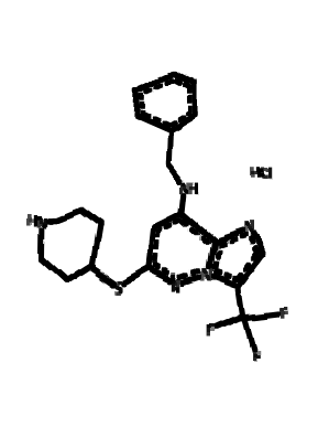 Cl.FC(F)(F)c1cnc2c(NCc3ccccc3)cc(SC3CCNCC3)nn12